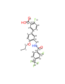 CCCOc1ccc(-c2ccc(F)c(C(=O)O)c2)cc1CNC(=O)c1ccc(C(F)(F)F)cc1F